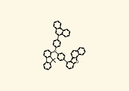 CC1(C)c2ccccc2-c2cccc(N(c3ccc(-c4cc5ccccc5c5ccccc45)cc3)c3ccc(-c4cccc5oc6c7ccccc7ccc6c45)cc3)c21